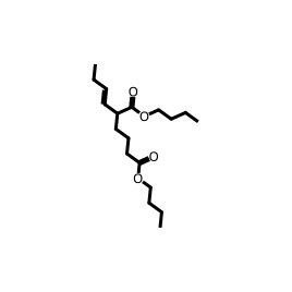 CC/C=C/C(CCCC(=O)OCCCC)C(=O)OCCCC